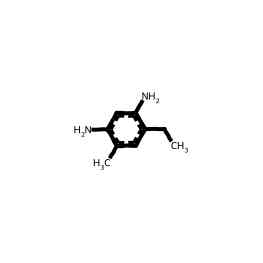 CCc1cc(C)c(N)cc1N